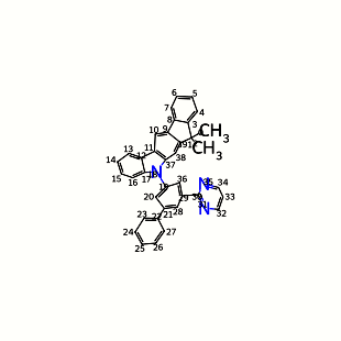 CC1(C)c2ccccc2-c2cc3c4ccccc4n(-c4cc(-c5ccccc5)cc(-c5ncccn5)c4)c3cc21